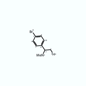 [2H]CC(NC)c1ccc(Br)cc1